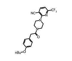 CCCCOc1ccc(CC(=O)N2CCN(c3nc(C(F)(F)F)ccc3C#N)CC2)cc1